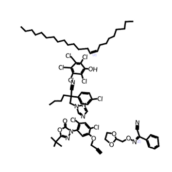 C#CCOc1cc(-n2nc(C(C)(C)C)oc2=O)c(Cl)cc1Cl.CCCCC(C#N)(Cn1cncn1)c1ccc(Cl)cc1.CCCCCCCC/C=C\CCCCCCCCCCCCC.N#C/C(=N\OCC1OCCO1)c1ccccc1.Oc1c(Cl)c(Cl)c(Cl)c(Cl)c1Cl